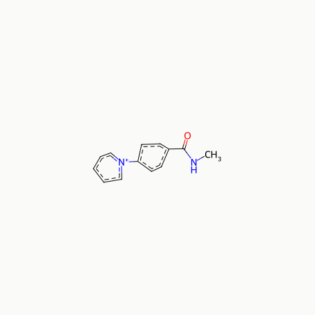 CNC(=O)c1ccc(-[n+]2ccccc2)cc1